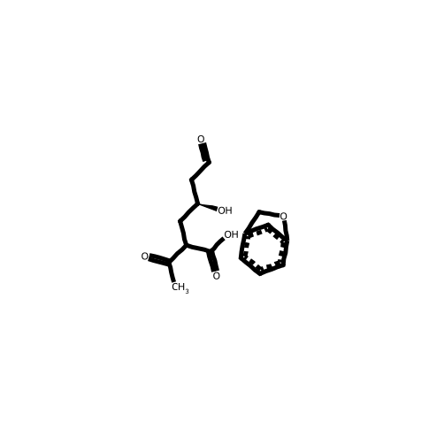 CC(=O)C(C[C@H](O)CC=O)C(=O)O.c1cc2cc(c1)OC2